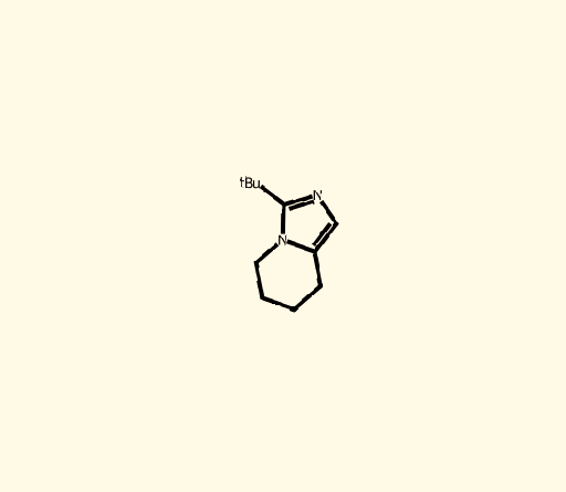 CC(C)(C)c1ncc2n1CCCC2